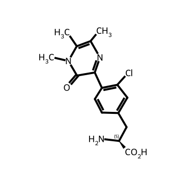 Cc1nc(-c2ccc(C[C@H](N)C(=O)O)cc2Cl)c(=O)n(C)c1C